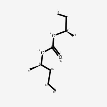 C[CH][C@@H](C)OC(=O)O[C@H](C)CCC